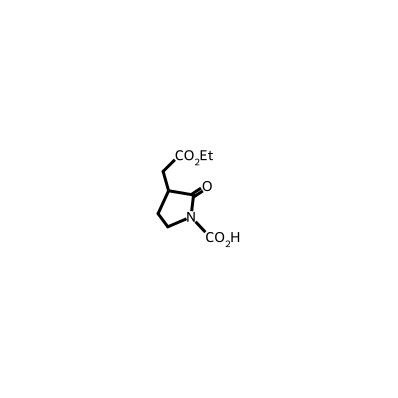 CCOC(=O)CC1CCN(C(=O)O)C1=O